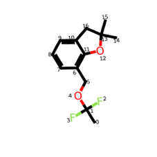 CC(F)(F)OCc1cccc2c1OC(C)(C)C2